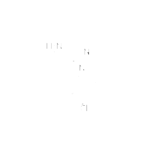 C[C@@H](N)c1cn(-c2ccc(Cl)cc2)cn1